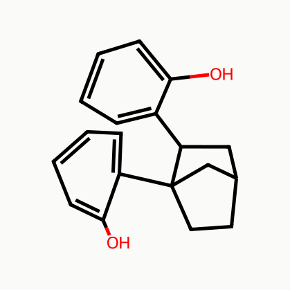 Oc1ccccc1C1CC2CCC1(c1ccccc1O)C2